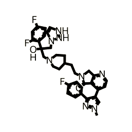 Cn1cc(-c2ccnc3c2C(=O)N(CCC2CCN(CC(O)(CN4C=CNN4)c4ccc(F)cc4F)CC2)C3)c(-c2ccc(F)cc2)n1